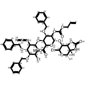 C=CCOC(=O)OC1[C@H](O[C@@H]2C(CC)O[C@@H](C)[C@H]3NC(=O)OC23)OC(C(=O)OC)[C@@H](O[C@H]2OC(CC)[C@@H](OCc3ccccc3)[C@H](OCc3ccccc3)C2N=[N+]=[N-])[C@H]1OCc1ccccc1